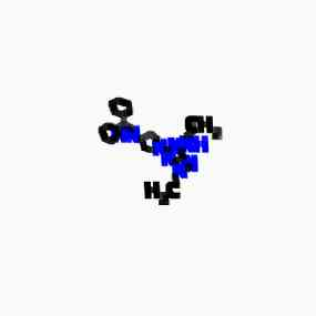 C=CCNc1nc(N2CCC(NCC(c3ccccc3)c3ccccc3)CC2)nc2c1ncn2CC=C